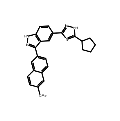 COc1ccc2cc(-c3n[nH]c4ccc(-c5n[nH]c(C6CCCC6)n5)cc34)ccc2c1